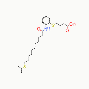 CC(C)SCCCCCCCCCCC(=O)Nc1ccccc1SCCCC(=O)O